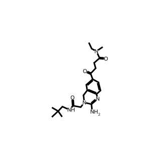 CCN(C)C(=O)CCC(=O)c1ccc2c(c1)CN(CC(=O)NCC(C)(C)C)C(N)=N2